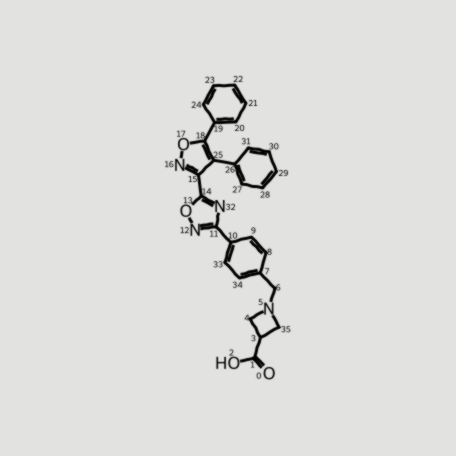 O=C(O)C1CN(Cc2ccc(-c3noc(-c4noc(-c5ccccc5)c4-c4ccccc4)n3)cc2)C1